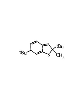 CC(C)(C)C1C=CC2=CC(C)(C(C)(C)C)SC2=C1